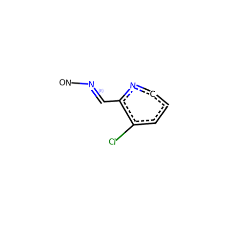 O=N/N=C/c1ncccc1Cl